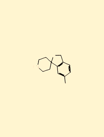 Cc1ccc2c(c1)C1(CCNCC1)OC2